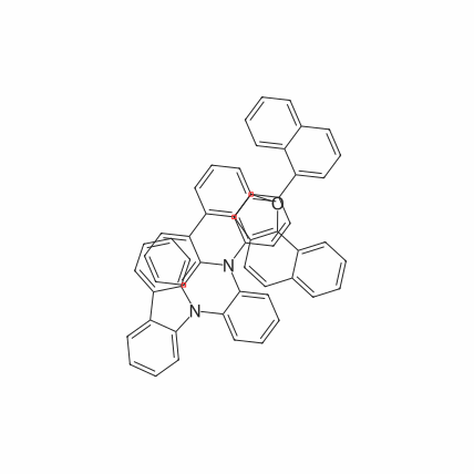 c1ccc(N(c2ccc(-c3cccc4ccccc34)cc2)c2ccccc2-n2c3ccccc3c3ccccc32)c(-c2cccc3oc4c5ccccc5ccc4c23)c1